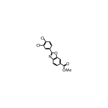 COC(=O)c1ccc2nc(-c3ccc(Cl)c(Cl)c3)oc2c1